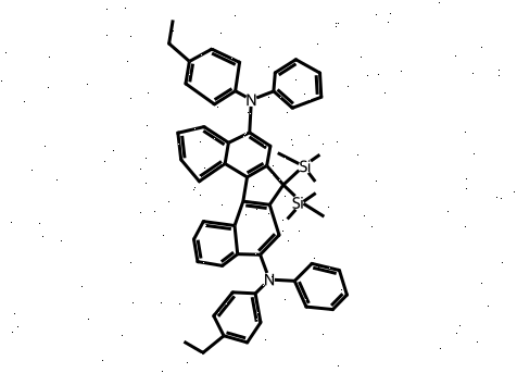 CCc1ccc(N(c2ccccc2)c2cc3c(c4ccccc24)-c2c(cc(N(c4ccccc4)c4ccc(CC)cc4)c4ccccc24)C3([Si](C)(C)C)[Si](C)(C)C)cc1